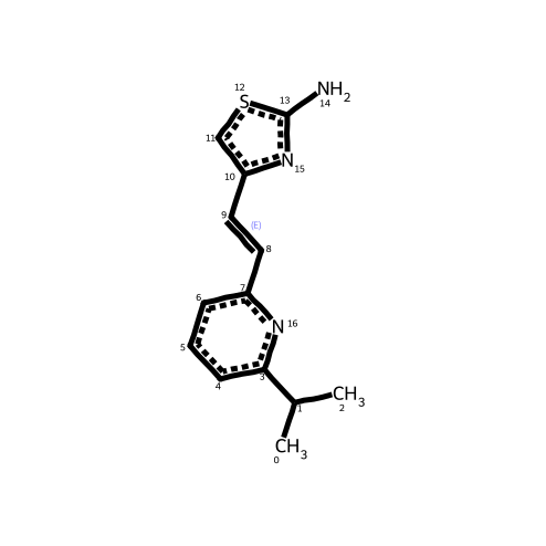 CC(C)c1cccc(/C=C/c2csc(N)n2)n1